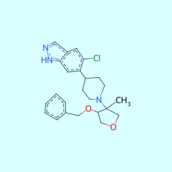 CC1(N2CCC(c3cc4[nH]ncc4cc3Cl)CC2)COCC1OCc1ccccc1